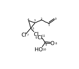 C=CCC1CC1(Cl)Cl.O=C(O)Cl